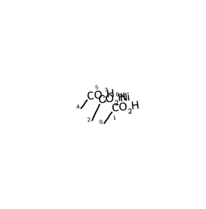 CC(=O)O.CC(=O)O.CC(=O)O.[Ni]